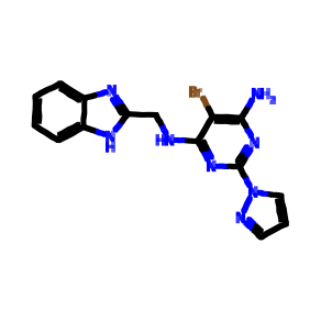 Nc1nc(-n2cccn2)nc(NCc2nc3ccccc3[nH]2)c1Br